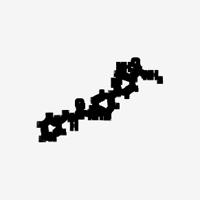 NC(=O)c1ccc(-c2ccc(NC(=O)NCc3cccnc3)cc2)nc1N